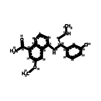 CNC[C@@H](Nc1ncnc2c(C(N)=O)cc(OC)cc12)c1cccc(Cl)c1